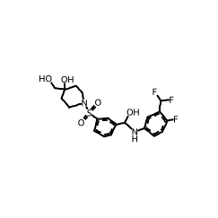 O=S(=O)(c1cccc(C(O)Nc2ccc(F)c(C(F)F)c2)c1)N1CCC(O)(CO)CC1